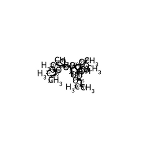 COC[C@@]1(O)[C@@H](OC(C)=O)C[C@]2(O)C(COC(=O)C(OC(=O)CC(C)C)C(C)C)=CO[C@@H](OC(=O)CC(C)C)[C@H]12